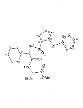 COC(=O)[C@@H](NC(=O)[C@@H](NC(=O)c1nccn1Cc1ccccc1)C1CCCCC1)C(C)(C)C